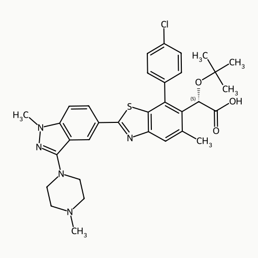 Cc1cc2nc(-c3ccc4c(c3)c(N3CCN(C)CC3)nn4C)sc2c(-c2ccc(Cl)cc2)c1[C@H](OC(C)(C)C)C(=O)O